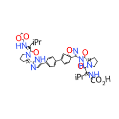 CC(C)[C@H](NC(=O)O)C(=O)N1CCC[C@H]1C(=O)Nc1noc2cc(-c3ccc(-c4cnc([C@@H]5CCCN5C(=O)[C@@H](NC5OCO5)C(C)C)[nH]4)cc3)ccc12